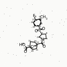 Cc1cc(S(=O)(=O)C2CCN(C(=O)C34CCC(C(=O)O)(CC3)CC4)C2)ccc1F